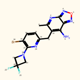 Cc1nc2nonc2c(N)c1Cc1ccc(Br)c(N2CC(F)(F)C2)n1